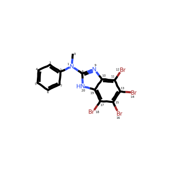 CN(c1ccccc1)c1nc2c(Br)c(Br)c(Br)c(Br)c2[nH]1